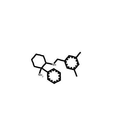 Cc1cc(C)cc(CNC2CCCCC2(N)c2ccccc2)c1